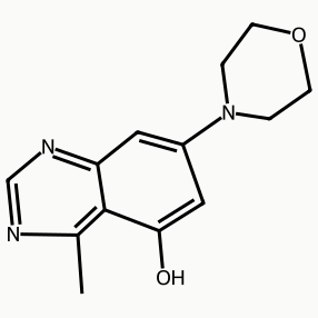 Cc1ncnc2cc(N3CCOCC3)cc(O)c12